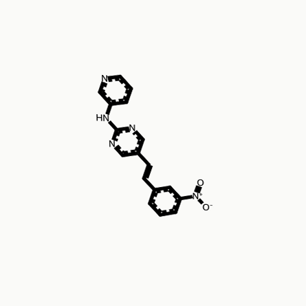 O=[N+]([O-])c1cccc(/C=C/c2cnc(Nc3cccnc3)nc2)c1